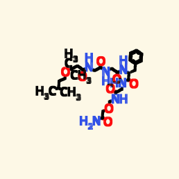 CC(C)CCOC(C)(C)CC(=O)NCC(=O)NCC(=O)N[C@@H](Cc1ccccc1)C(=O)NCC(=O)NCOCC(N)=O